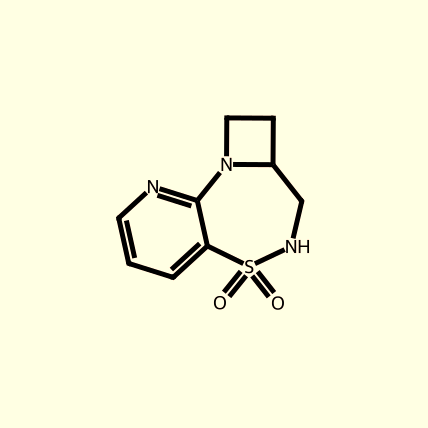 O=S1(=O)NCC2CCN2c2ncccc21